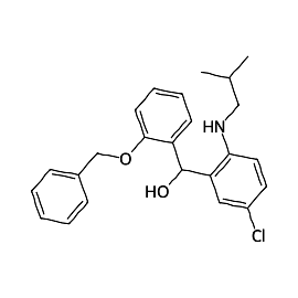 CC(C)CNc1ccc(Cl)cc1C(O)c1ccccc1OCc1ccccc1